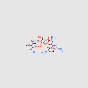 COC1C(N)CC(N)C(OC2OC(CN)CCC2N)C1OC1OC(CO)C(OC2OC(CN)C(O)C(O)C2N)C1O